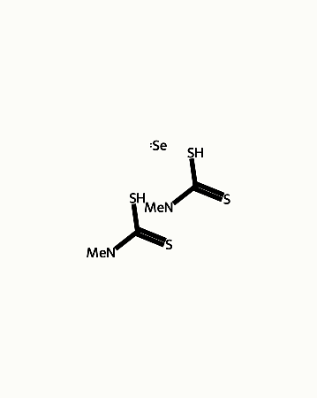 CNC(=S)S.CNC(=S)S.[Se]